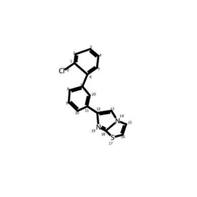 Clc1ccccc1-c1c[c]cc(-c2cn3ccsc3n2)c1